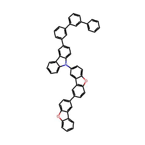 c1ccc(-c2cccc(-c3cccc(-c4ccc5c(c4)c4ccccc4n5-c4ccc5oc6ccc(-c7ccc8oc9ccccc9c8c7)cc6c5c4)c3)c2)cc1